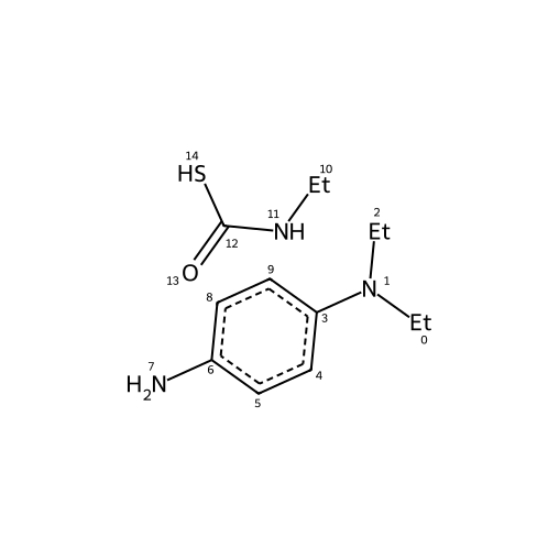 CCN(CC)c1ccc(N)cc1.CCNC(=O)S